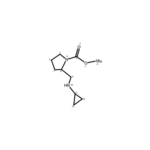 CC(C)(C)OC(=O)N1CCCC1CNC1CC1